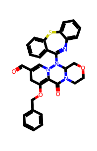 O=CC1=CN2C(=C(OCc3ccccc3)C1)C(=O)N1CCOCC1N2C1=Nc2ccccc2Sc2ccccc21